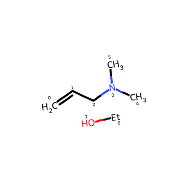 C=CCN(C)C.CCO